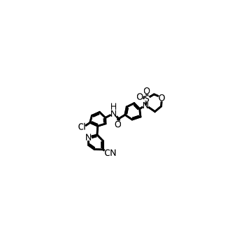 N#Cc1ccnc(-c2cc(NC(=O)c3ccc(N4CCOCS4(=O)=O)cc3)ccc2Cl)c1